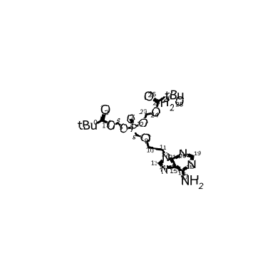 CC(C)(C)C(=O)OCOP(=O)(COCCn1cnc2c(N)ncnc21)OCOC(=O)C(C)(C)C.O